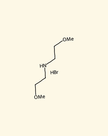 Br.COCCNCCOC